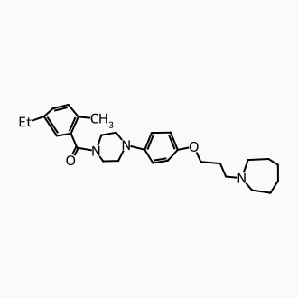 CCc1ccc(C)c(C(=O)N2CCN(c3ccc(OCCCN4CCCCCC4)cc3)CC2)c1